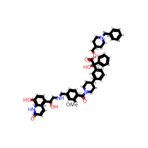 COc1cc(CNCC(O)c2ccc(O)c3[nH]c(=O)ccc23)ccc1C(=O)N1CCC(c2cccc(C(O)(C(=O)OCC3CCN(Cc4ccccc4)CC3)c3ccccc3)c2)CC1